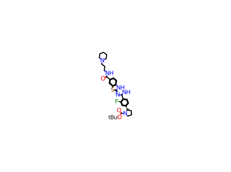 CC(C)(C)OC(=O)N1CCC[C@@H]1c1ccc(C(=N)/N=c2\[nH]c3ccc(C(=O)NCCCN4CCCCC4)cc3s2)c(F)c1